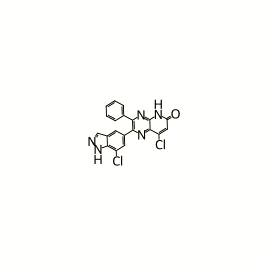 O=c1cc(Cl)c2nc(-c3cc(Cl)c4[nH]ncc4c3)c(-c3ccccc3)nc2[nH]1